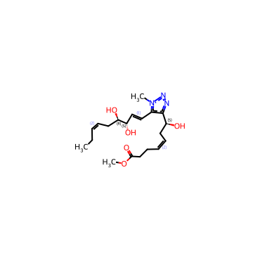 CC/C=C\C[C@@H](O)[C@@H](O)/C=C/c1c([C@@H](O)C/C=C\CCC(=O)OC)nnn1C